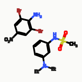 CCN(CC)c1cccc(NS(C)(=O)=O)c1.Nc1c(Br)cc([N+](=O)[O-])cc1Br